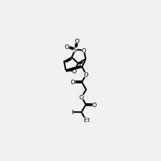 CCC(I)C(=O)OCC(=O)Oc1c2c3oc1cc3S(=O)(=O)O2